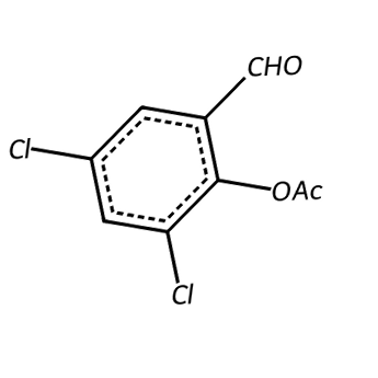 CC(=O)Oc1c(Cl)cc(Cl)cc1C=O